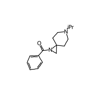 CC(C)N1CCC2(CC1)CN2C(=O)c1ccccc1